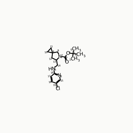 CC(C)(C)OC(=O)N1CC2(CC2)CC1CNc1ccc(Cl)cn1